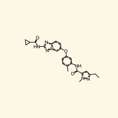 CCc1cc(C(=O)Nc2cc(Oc3ccc4nc(NC(=O)C5CC5)nn4c3)ccc2C)n(C)n1